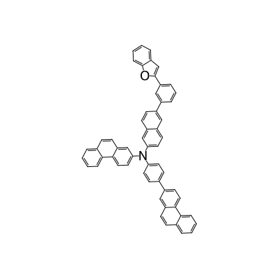 c1cc(-c2ccc3cc(N(c4ccc(-c5ccc6c(ccc7ccccc76)c5)cc4)c4ccc5c(ccc6ccccc65)c4)ccc3c2)cc(-c2cc3ccccc3o2)c1